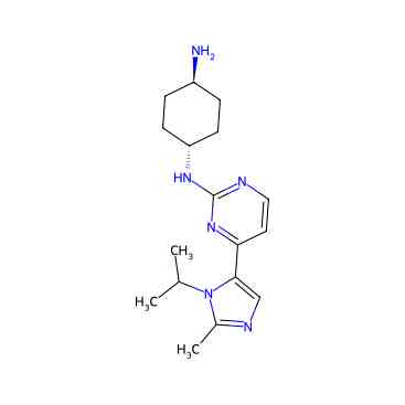 Cc1ncc(-c2ccnc(N[C@H]3CC[C@H](N)CC3)n2)n1C(C)C